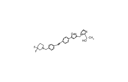 C[C@H](O)c1nccn1Cc1cc(-c2ccc(C#Cc3ccc(CN4CCCC(F)(F)C4)cc3)cc2)on1